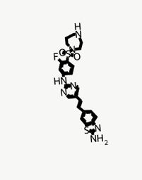 Nc1nc2ccc(/C=C/c3cnc(Nc4ccc(S(=O)(=O)N5CCCNCC5)c(F)c4)nc3)cc2s1